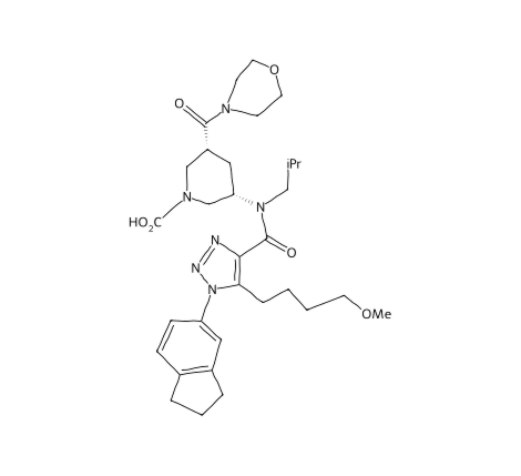 COCCCCc1c(C(=O)N(CC(C)C)[C@H]2C[C@@H](C(=O)N3CCOCC3)CN(C(=O)O)C2)nnn1-c1ccc2c(c1)CCC2